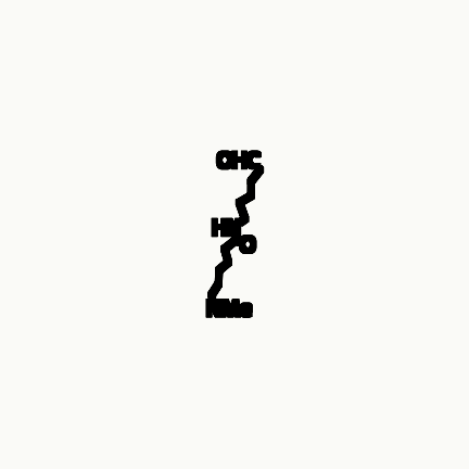 CNCCCCCC(=O)NCCCCCC=O